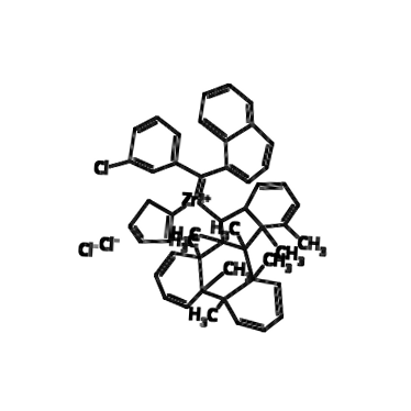 CC1=CC=CC2[CH](/[Zr+2]([C]3=CC=CC3)=[C](/c3cccc(Cl)c3)c3cccc4ccccc34)C3(C)C4(C)C=CC=CC4(C)C4(C)C=CC=CC4(C)C3(C)C12C.[Cl-].[Cl-]